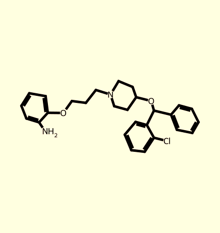 Nc1ccccc1OCCCN1CCC(OC(c2ccccc2)c2ccccc2Cl)CC1